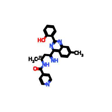 Cc1ccc2c(C(=N)C[C@@H](C)NC(=O)c3ccncc3)nc(-c3ccccc3O)nc2c1